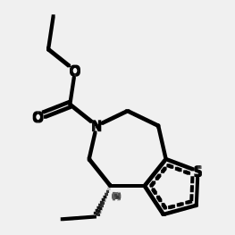 CCOC(=O)N1CCc2sccc2[C@H](CC)C1